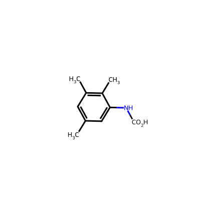 Cc1cc(C)c(C)c(NC(=O)O)c1